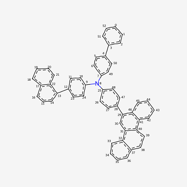 c1ccc(-c2ccc(N(c3ccc(-c4cccc5ccccc45)cc3)c3ccc(-c4cc5c6ccccc6ccc5c5ccccc45)cc3)cc2)cc1